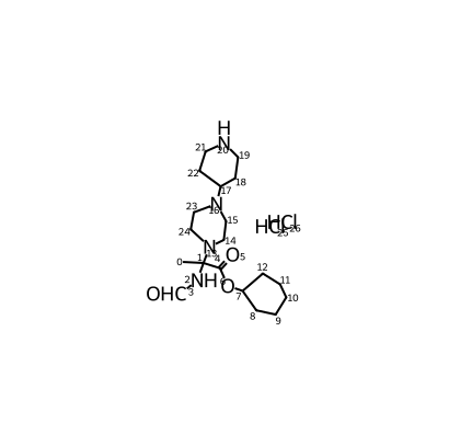 CC(NC=O)(C(=O)OC1CCCCC1)N1CCN(C2CCNCC2)CC1.Cl.Cl